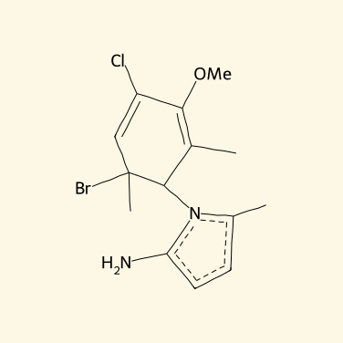 COC1=C(C)C(n2c(C)ccc2N)C(C)(Br)C=C1Cl